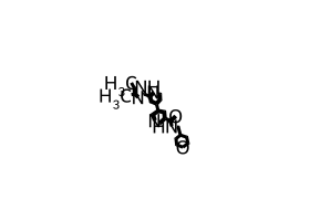 Cc1nc(-c2cc(-c3cncc(C(=O)NCC4CCOCC4)c3)ccn2)[nH]c1C